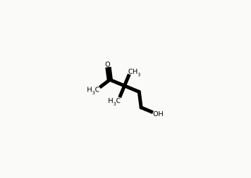 CC(=O)C(C)(C)CCO